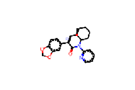 CC/C=C(\C(=O)N(c1ccccn1)C1CCCCC1)c1ccc2c(c1)OCO2